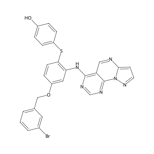 Oc1ccc(Sc2ccc(OCc3cccc(Br)c3)cc2Nc2ncnc3c2cnc2ccnn23)cc1